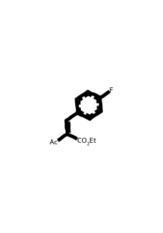 CCOC(=O)/C(=C\c1ccc(F)cc1)C(C)=O